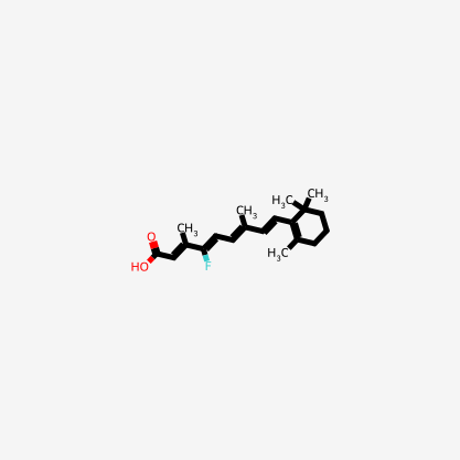 CC1=C(/C=C/C(C)=C/C=C(F)/C(C)=C/C(=O)O)C(C)(C)CCC1